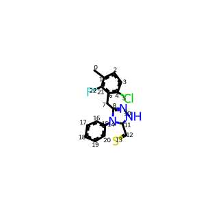 Cc1ccc(Cl)c(CC2=NNC(C=S)N2c2ccccc2)c1F